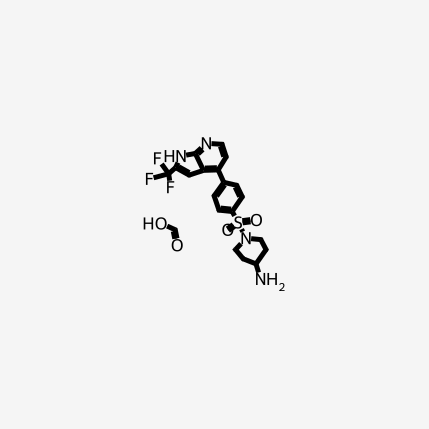 NC1CCN(S(=O)(=O)c2ccc(-c3ccnc4[nH]c(C(F)(F)F)cc34)cc2)CC1.O=CO